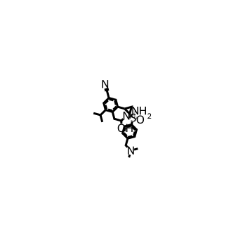 CC(C)c1cc(C#N)cc(C2CC2)c1CC(O)N=[S@@](N)(=O)c1ccc(CN(C)C)cc1